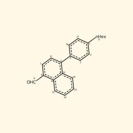 CCCCCCc1ccc(-c2ccc(C=O)c3ccccc23)cc1